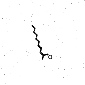 CCCCCCC=CC=C(C)C[O]